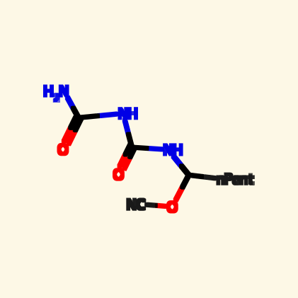 CCCCCC(NC(=O)NC(N)=O)OC#N